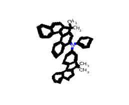 CC1(C)c2cc(N(c3ccccc3)c3cc4c(c5ccccc35)-c3c(ccc5ccccc35)C4(C)C)ccc2-c2c1ccc1ccccc21